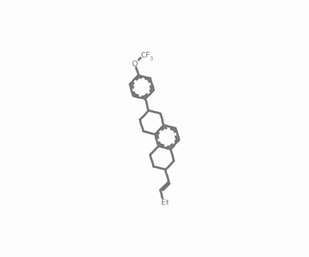 CCC=CC1CCc2c(ccc3c2CCC(c2ccc(OC(F)(F)F)cc2)C3)C1